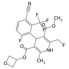 COC(=O)C1=C(CF)NC(C)=C(C(=O)OC2COC2)C1c1c(F)ccc(C#N)c1C(F)(F)F